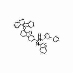 c1ccc(-c2cccc(C3NC(c4ccc5c(c4)oc4c(-n6c7ccccc7c7ccc8ccccc8c76)cccc45)=Nc4c3sc3ccccc43)c2)cc1